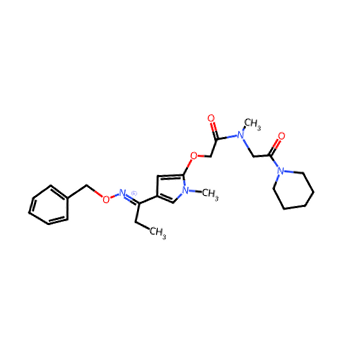 CC/C(=N\OCc1ccccc1)c1cc(OCC(=O)N(C)CC(=O)N2CCCCC2)n(C)c1